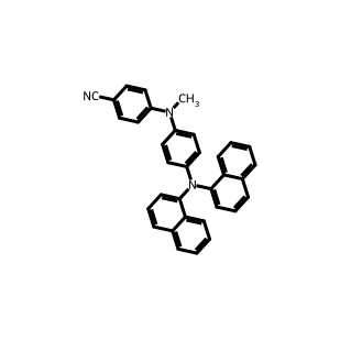 CN(c1ccc(C#N)cc1)c1ccc(N(c2cccc3ccccc23)c2cccc3ccccc23)cc1